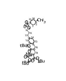 Cc1ccc(S(=O)(=O)OCCCc2ccc(CC(CC(NC(=O)OC(C)(C)C)C(=O)OC(C)(C)C)C(=O)OC(C)(C)C)cc2)cc1